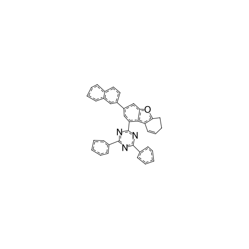 C1=Cc2c(oc3cc(-c4ccc5ccccc5c4)cc(-c4nc(-c5ccccc5)nc(-c5ccccc5)n4)c23)CC1